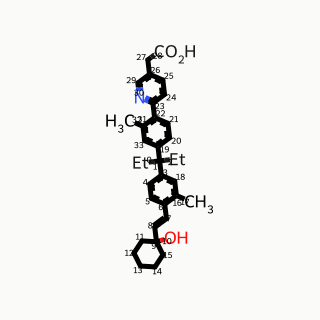 CCC(CC)(c1ccc(C=CC2(O)CCCCC2)c(C)c1)c1ccc(-c2ccc(CC(=O)O)cn2)c(C)c1